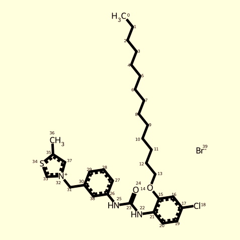 CCCCCCCCCCCCCCOc1cc(Cl)ccc1NC(=O)Nc1cccc(C[n+]2csc(C)c2)c1.[Br-]